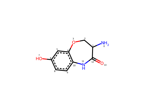 NC1COc2cc(O)ccc2NC1=O